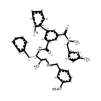 COc1cccc(CNC[C@@H](O)[C@H](Cc2ccccc2)NC(=O)c2cc(C(=O)N(C)Cc3nc(C)cs3)cc(-c3ccccc3C#N)c2)c1